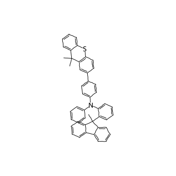 CC1(C)c2ccccc2Sc2ccc(-c3ccc(N(c4ccccc4)c4ccccc4C4(C)c5ccccc5-c5ccccc54)cc3)cc21